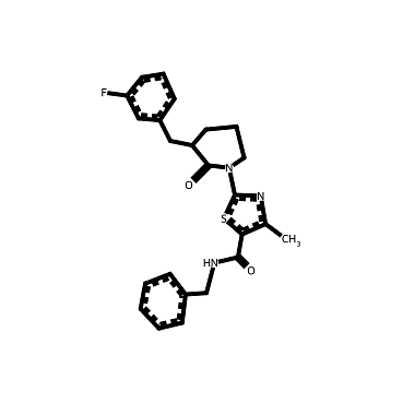 Cc1nc(N2CCCC(Cc3cccc(F)c3)C2=O)sc1C(=O)NCc1ccccc1